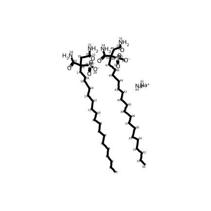 CCCCCCCCCCCCCCCCCCC(CC(N)=O)(C(N)=O)S(=O)(=O)[O-].CCCCCCCCCCCCCCCCCCC(CC(N)=O)(C(N)=O)S(=O)(=O)[O-].[Na+].[Na+]